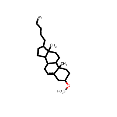 CC(C)CCCCC1CCC2C3CC=C4CC(OS(=O)(=O)O)CCC4(C)C3CCC12C